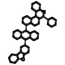 c1ccc(-c2nc3ccccc3c3c2ccc2c(-c4c5ccccc5c(-c5ccc6oc7ccccc7c6c5)c5ccccc45)cccc23)cc1